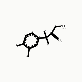 Cc1ccc(C(C)(C)C(=O)CN)cc1C